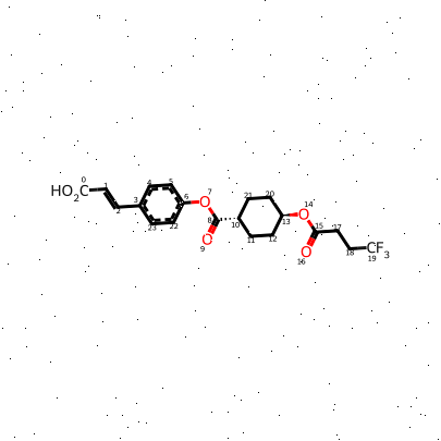 O=C(O)/C=C/c1ccc(OC(=O)[C@H]2CC[C@H](OC(=O)CCC(F)(F)F)CC2)cc1